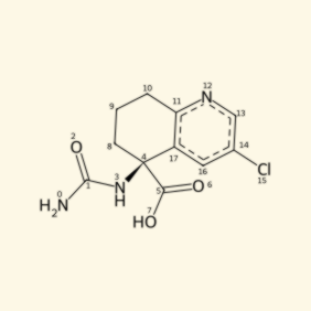 NC(=O)N[C@@]1(C(=O)O)CCCc2ncc(Cl)cc21